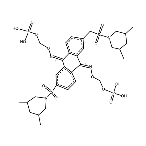 CC1CC(C)CN(S(=O)(=O)Cc2ccc3c(c2)/C(=N/OCOP(=O)(O)O)c2ccc(S(=O)(=O)N4CC(C)CC(C)C4)cc2/C3=N/OCOP(=O)(O)O)C1